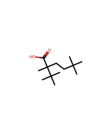 CC(C)(C)CCC(C)(C(=O)O)C(C)(C)C